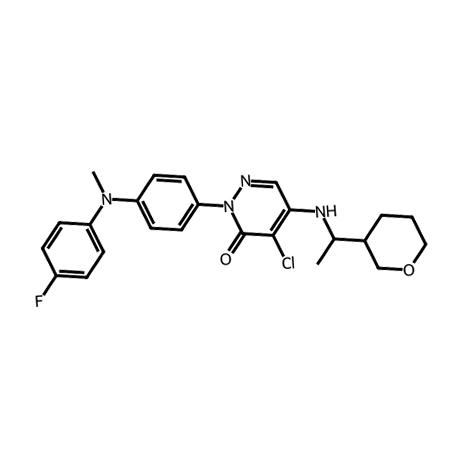 CC(Nc1cnn(-c2ccc(N(C)c3ccc(F)cc3)cc2)c(=O)c1Cl)C1CCCOC1